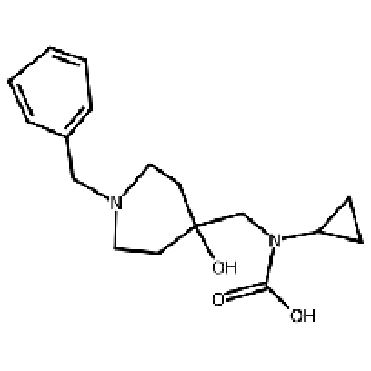 O=C(O)N(CC1(O)CCN(Cc2ccccc2)CC1)C1CC1